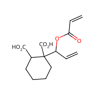 C=CC(=O)OC(C=C)C1(C(=O)O)CCCCC1C(=O)O